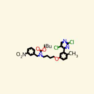 Cc1ccc(OCCCCN(Cc2cccc([N+](=O)[O-])c2)C(=O)OC(C)(C)C)cc1-c1nc(Cl)ncc1Cl